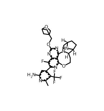 Cc1nc(N)cc(-c2nc3c4c(nc(OCC56COC(C5)C6)nc4c2F)N2C[C@@H]4CC[C@@H](N4)[C@H]2CCO3)c1C(F)(F)F